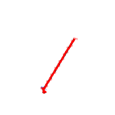 COc1ccccc1OCC(COC(N)=O)OC(=O)CCCCCOC(=O)CCCCCOC(=O)CCCCCOC(=O)CCCCCOC(=O)CCCCCOC(=O)CCCCCOC(=O)CCCCCOC(=O)CCCCCOC(=O)CCCCCOC(=O)CCCCCOC(=O)CCCCCOC(=O)CCCCCOC(=O)CCCCCOC(=O)CCCCCOC(=O)CCCCCO